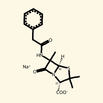 CC1(C)S[C@H]2N(C(=O)C2(C)NC(=O)Cc2ccccc2)[C@H]1C(=O)[O-].[Na+]